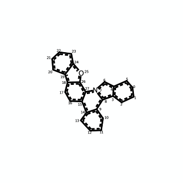 c1ccc2c(c1)cn1c2c2ccccc2c2ccc3c4ccccc4oc3c21